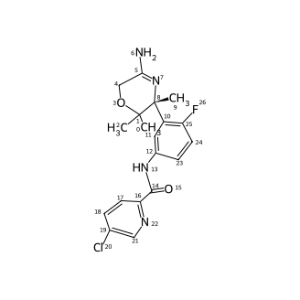 CC1(C)OCC(N)=N[C@]1(C)c1cc(NC(=O)c2ccc(Cl)cn2)ccc1F